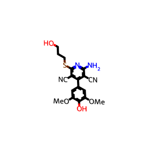 COc1cc(-c2c(C#N)c(N)nc(SCCCO)c2C#N)cc(OC)c1O